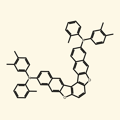 Cc1ccc(N(c2ccc3cc4c(cc3c2)oc2ccc3oc5cc6cc(N(c7ccc(C)c(C)c7)c7ccccc7C)ccc6cc5c3c24)c2ccccc2C)cc1C